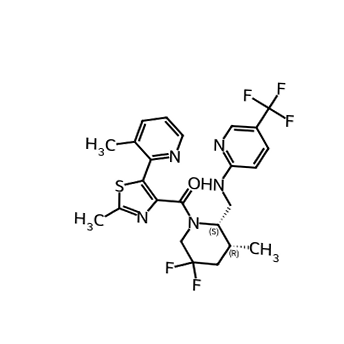 Cc1nc(C(=O)N2CC(F)(F)C[C@@H](C)[C@H]2CNc2ccc(C(F)(F)F)cn2)c(-c2ncccc2C)s1